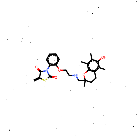 C=C1SC(=O)N(c2ccccc2OCCNCC2(C)CCc3c(C)c(O)c(C)c(C)c3O2)C1=O